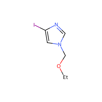 CCOCn1cnc(I)c1